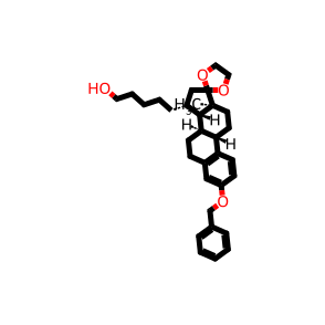 C[C@]12CC[C@@H]3c4ccc(OCc5ccccc5)cc4CC[C@H]3[C@@H]1[C@H](CCCCCO)CC21OCCO1